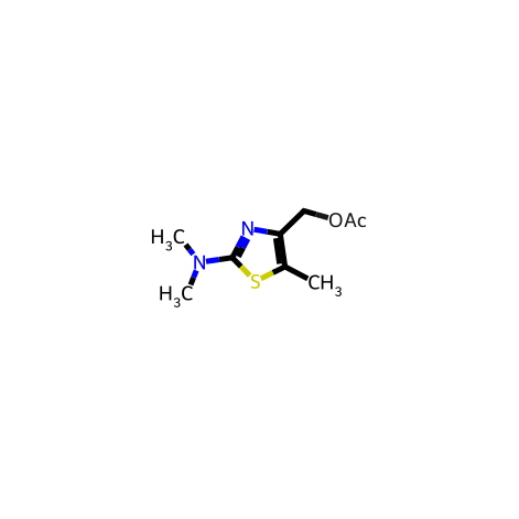 CC(=O)OCc1nc(N(C)C)sc1C